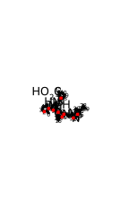 Cc1cccc(C)c1-c1cc(OCC(CC23CC2C3)NCc2cnc3sc(C4CC4)cc3n2)nc(NSc2cccc(C(=O)O)c2)n1